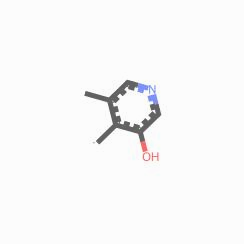 [CH2]c1c(C)cncc1O